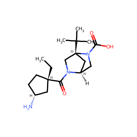 CC[C@]1(C(=O)N2C[C@@]3(C(C)(C)C)C[C@H]2CN3C(=O)O)CC[C@@H](N)C1